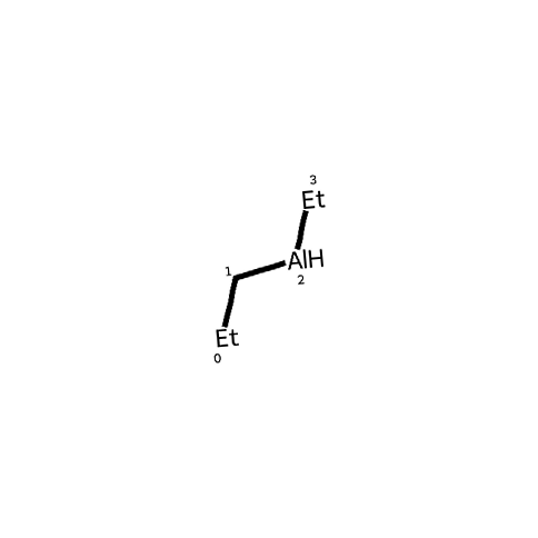 CC[CH2][AlH][CH2]C